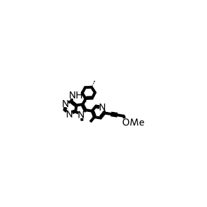 COCC#Cc1cc(C)c(-c2c(C3=CC[C@@H](C)CC3)c3c(N)ncnc3n2C)cn1